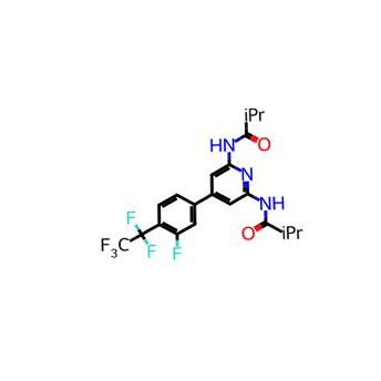 CC(C)C(=O)Nc1cc(-c2ccc(C(F)(F)C(F)(F)F)c(F)c2)cc(NC(=O)C(C)C)n1